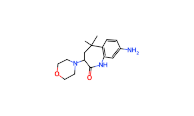 CC1(C)CC(N2CCOCC2)C(=O)Nc2cc(N)ccc21